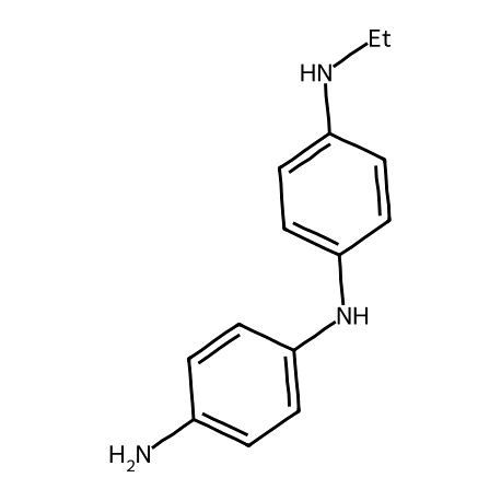 CCNc1ccc(Nc2ccc(N)cc2)cc1